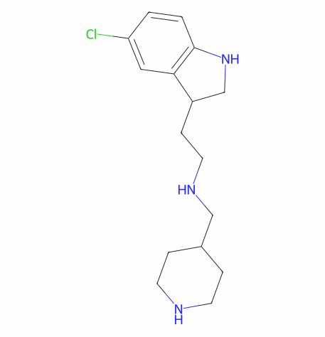 Clc1ccc2c(c1)C(CCNCC1CCNCC1)CN2